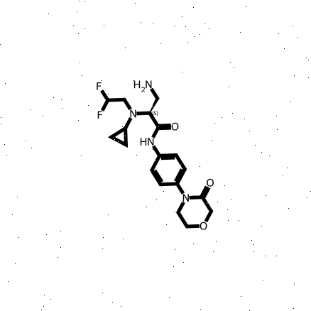 NC[C@@H](C(=O)Nc1ccc(N2CCOCC2=O)cc1)N(CC(F)F)C1CC1